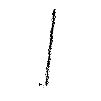 COCCOCCOCCOCCOCCOCCOCCOCCOCCOCCOCCOCCOCCOCCOCCOCCOCCOCCOCCOCCOCCOCCOCCOCCC(N)=O